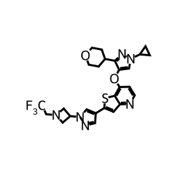 FC(F)(F)CN1CC(n2cc(-c3cc4nccc(Oc5cn(C6CC6)nc5C5CCOCC5)c4s3)cn2)C1